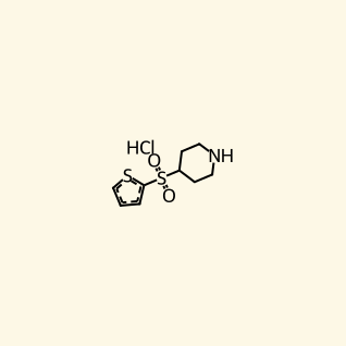 Cl.O=S(=O)(c1cccs1)C1CCNCC1